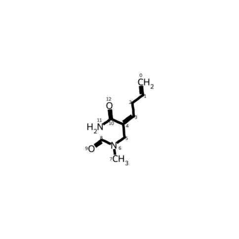 C=CC/C=C(/CN(C)C=O)C(N)=O